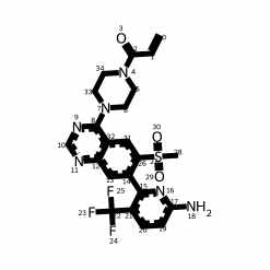 C=CC(=O)N1CCN(c2ncnc3cc(-c4nc(N)ccc4C(F)(F)F)c(S(C)(=O)=O)cc23)CC1